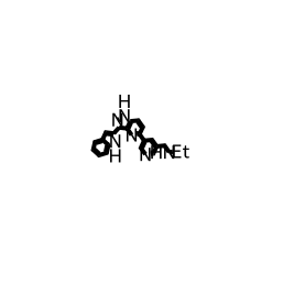 CCNCc1cncc(-c2ccc3[nH]nc(-c4cc5ccccc5[nH]4)c3n2)c1